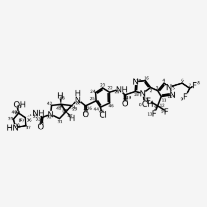 Cn1c(-c2cn(CC(F)F)nc2C(F)(F)F)cnc1C(=O)Nc1ccc(C(=O)N[C@H]2[C@@H]3CN(C(=O)N[C@@H]4CNC[C@H]4O)C[C@@H]32)c(Cl)c1